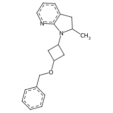 CC1Cc2cccnc2N1C1CC(OCc2ccccc2)C1